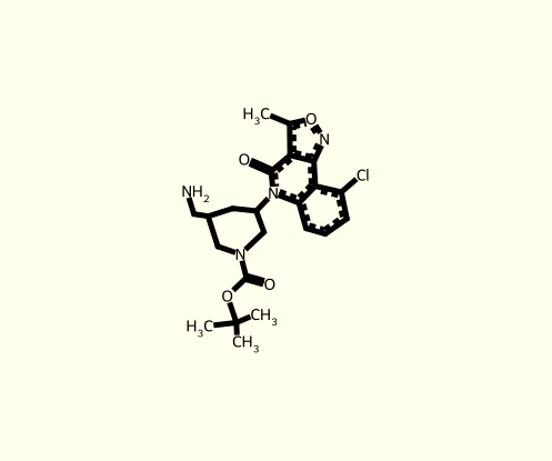 Cc1onc2c1c(=O)n(C1CC(CN)CN(C(=O)OC(C)(C)C)C1)c1cccc(Cl)c21